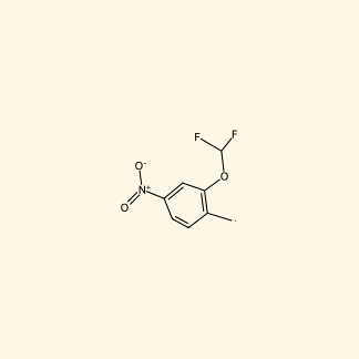 [CH2]c1ccc([N+](=O)[O-])cc1OC(F)F